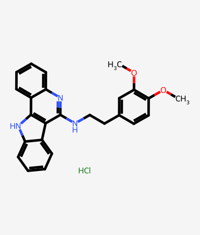 COc1ccc(CCNc2nc3ccccc3c3[nH]c4ccccc4c23)cc1OC.Cl